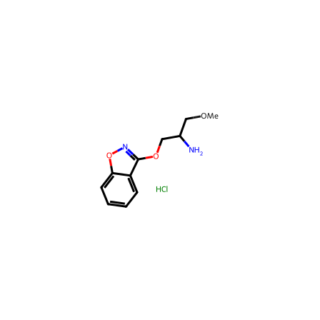 COCC(N)COc1noc2ccccc12.Cl